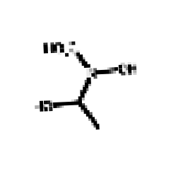 CC(O)N(O)C(=O)O